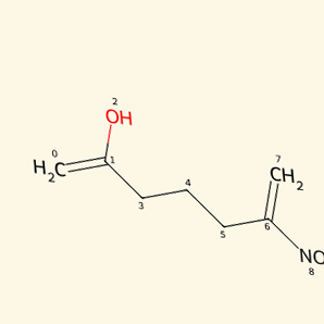 C=C(O)CCCC(=C)N=O